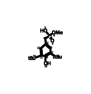 COP(=O)(O)Cc1cc(C(C)(C)C)c(O)c(C(C)(C)C)c1